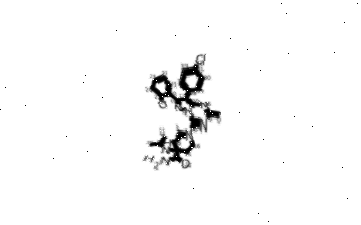 Cc1nc(N2CCC(NC(C)C)(C(N)=O)CC2)n2nc(-c3ccccc3Cl)c(-c3ccc(Cl)cc3)c2n1